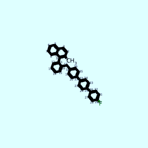 Cc1ccc2ccccc2c1-c1ccccc1Cc1ccc(-c2ccc(-c3ccc(F)cc3)cc2)cc1